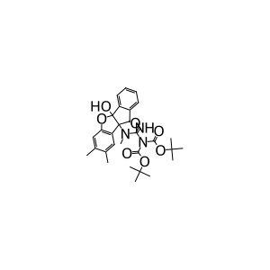 Cc1cc2c(cc1C)C1(N(C)C(=N)N(C(=O)OC(C)(C)C)C(=O)OC(C)(C)C)C(=O)c3ccccc3C1(O)O2